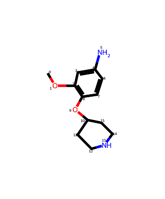 COc1cc(N)ccc1OC1CCNCC1